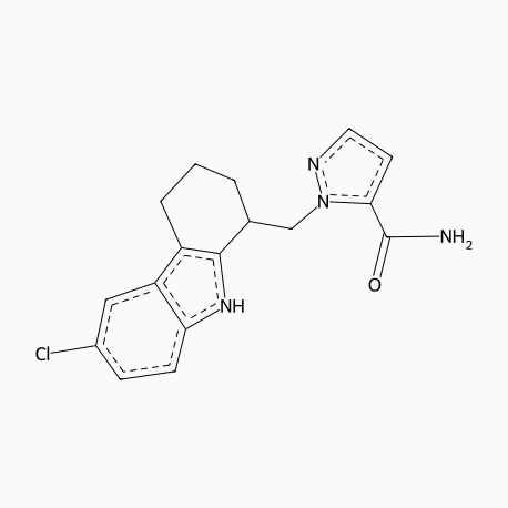 NC(=O)c1ccnn1CC1CCCc2c1[nH]c1ccc(Cl)cc21